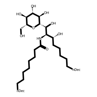 CCCCCCCCCCCCCCCCCC(=O)N[C@@H](C(O)[C@@H]1O[C@H](CO)[C@@H](O)[C@H](O)[C@H]1O)[C@H](O)CCCCCCCCCCCCCCC